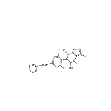 CN1c2c(cnn2C)C(=O)N(c2c(F)cc(C#Cc3ccccc3)cc2F)C1O